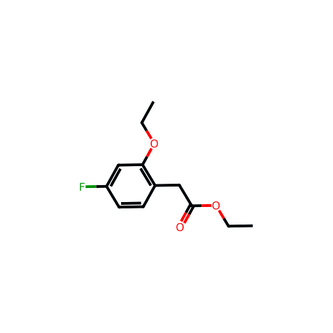 CCOC(=O)Cc1ccc(F)cc1OCC